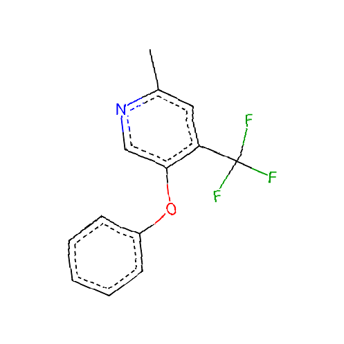 Cc1cc(C(F)(F)F)c(Oc2ccccc2)cn1